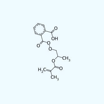 C=C(C)C(=O)OC(C)COOC(=O)c1ccccc1C(=O)O